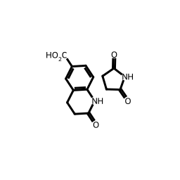 O=C1CCC(=O)N1.O=C1CCc2cc(C(=O)O)ccc2N1